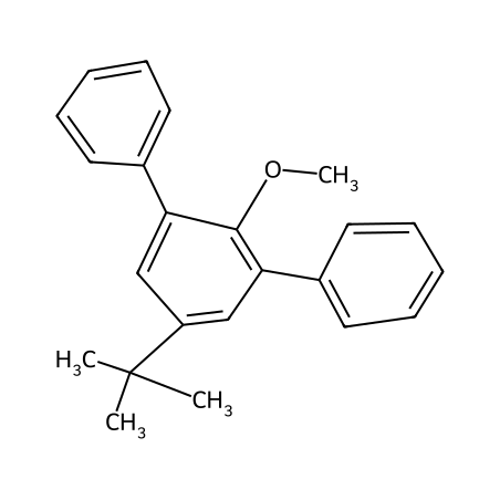 COc1c(-c2ccccc2)cc(C(C)(C)C)cc1-c1ccccc1